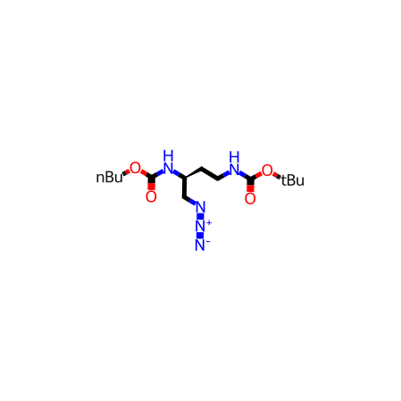 CCCCOC(=O)N[C@@H](CCNC(=O)OC(C)(C)C)CN=[N+]=[N-]